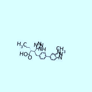 CCC[C@@H](C(=O)O)[C@H](Cc1ccc(-c2ccc3nnn(C)c3c2)cc1)c1nnn[nH]1